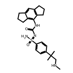 CNCC(C)(C)c1ccc([S@](N)(=O)=NC(=O)Nc2c3c(cc4c2CCC4)CCC3)cc1